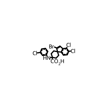 O=C(O)C1(Nc2cccc(Cl)c2)CCC2(CC1)C(Br)=Cc1c2ccc(Cl)c1Cl